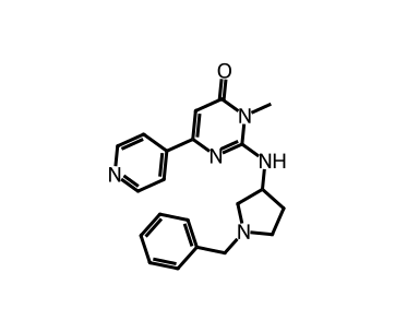 Cn1c(NC2CCN(Cc3ccccc3)C2)nc(-c2ccncc2)cc1=O